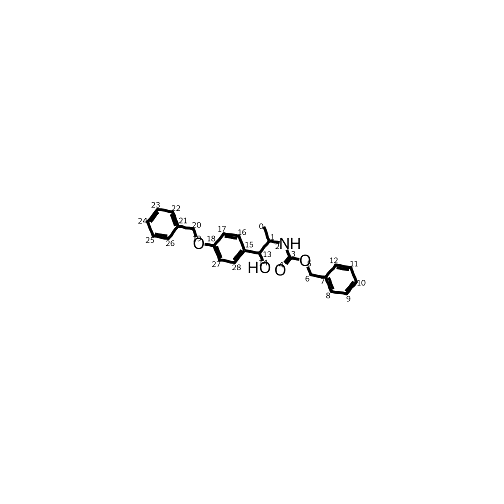 CC(NC(=O)OCc1ccccc1)C(O)c1ccc(OCc2ccccc2)cc1